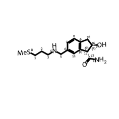 CSCCCNCc1ccc2c(c1)[C@@H](C(N)=O)[C@H](O)C2